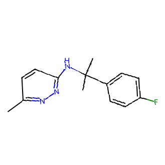 Cc1ccc(NC(C)(C)c2ccc(F)cc2)nn1